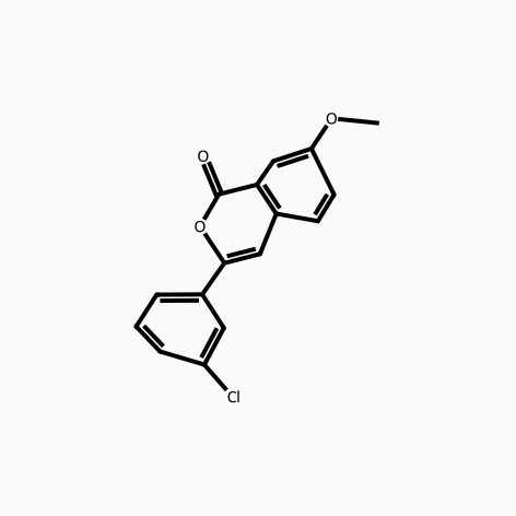 COc1ccc2cc(-c3cccc(Cl)c3)oc(=O)c2c1